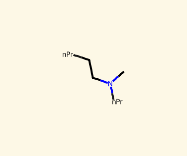 CCCCCN(C)CCC